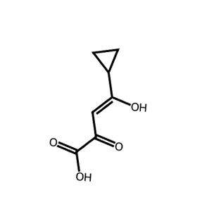 O=C(O)C(=O)C=C(O)C1CC1